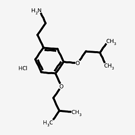 CC(C)COc1ccc(CCN)cc1OCC(C)C.Cl